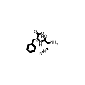 C=[N+]=[N-].NCC(=O)N[C@@H](Cc1ccccc1)C(=O)O